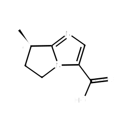 C[C@@H]1CCn2c(C(=O)O)cnc21